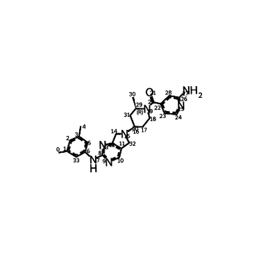 Cc1cc(C)cc(Nc2ncc3c(n2)CN([C@@H]2CCN(C(=O)c4ccnc(N)c4)[C@H](C)C2)C3)c1